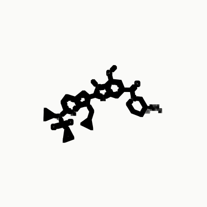 COc1cc(C(=O)N2CCC[C@@H](N)C2)cc2nc(-c3cc4ccc(N(C5CC5)S(=O)(=O)C5CC5)nc4n3CC3CC3)n(C)c12